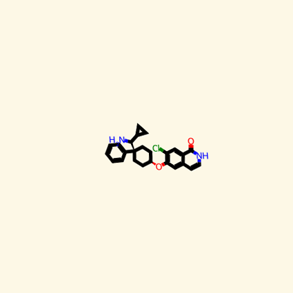 NC(C1CC1)[C@]1(c2ccccc2)CC[C@H](Oc2cc3cc[nH]c(=O)c3cc2Cl)CC1